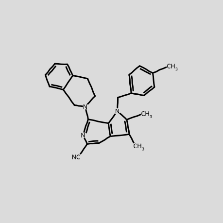 Cc1ccc(Cn2c(C)c(C)c3cc(C#N)nc(N4CCc5ccccc5C4)c32)cc1